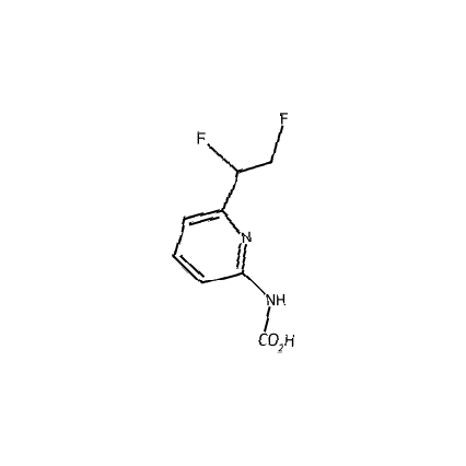 O=C(O)Nc1cccc(C(F)CF)n1